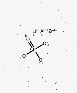 O=P([O-])([O-])[O-].[Al+3].[Li+].[Zr+4]